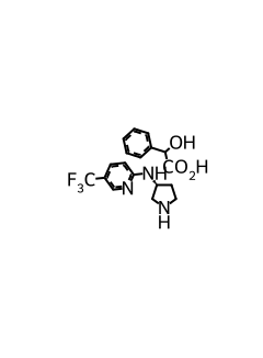 FC(F)(F)c1ccc(N[C@H]2CCNC2)nc1.O=C(O)C(O)c1ccccc1